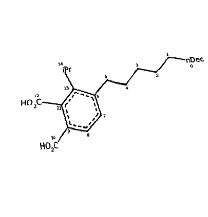 CCCCCCCCCCCCCCCc1ccc(C(=O)O)c(C(=O)O)c1C(C)C